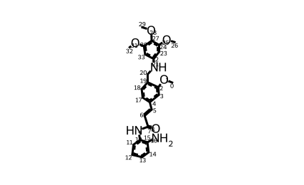 COc1cc(/C=C/C(=O)Nc2ccccc2N)ccc1CNc1cc(OC)c(OC)c(OC)c1